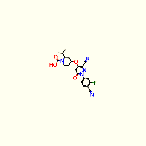 CC(C)C1CC(Oc2cc(=O)n(-c3ccc(C#N)c(F)c3)nc2C#N)CCN1C(=O)O